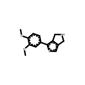 COc1ccc(-c2scc3c2CNC3)cc1OC